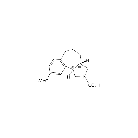 COc1ccc2c(c1)[C@@H]1CN(C(=O)O)C[C@H]1CCC2